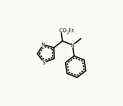 CCOC(=O)C(c1cscn1)N(C)c1ccccc1